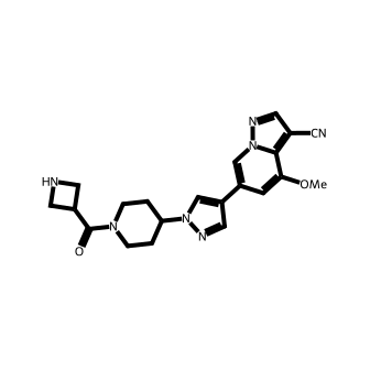 COc1cc(-c2cnn(C3CCN(C(=O)C4CNC4)CC3)c2)cn2ncc(C#N)c12